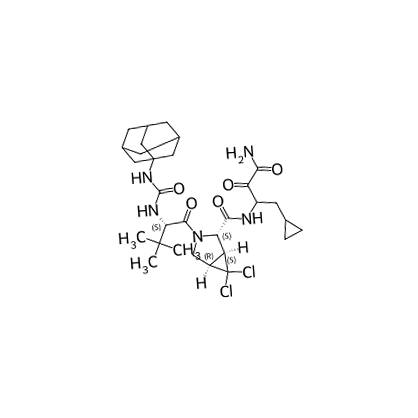 CC(C)(C)[C@H](NC(=O)NC12CC3CC(CC(C3)C1)C2)C(=O)N1C[C@H]2[C@@H]([C@H]1C(=O)NC(CC1CC1)C(=O)C(N)=O)C2(Cl)Cl